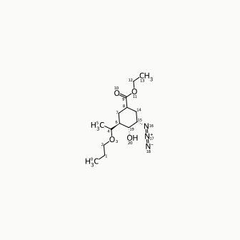 CCCOC(C)[C@H]1CC(C(=O)OCC)C[C@H](N=[N+]=[N-])[C@@H]1O